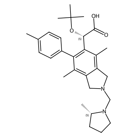 Cc1ccc(-c2c(C)c3c(c(C)c2[C@H](OC(C)(C)C)C(=O)O)CN(CN2CCC[C@@H]2C)C3)cc1